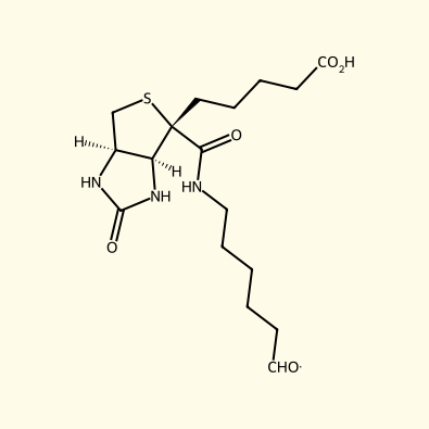 O=[C]CCCCCNC(=O)[C@@]1(CCCCC(=O)O)SC[C@@H]2NC(=O)N[C@@H]21